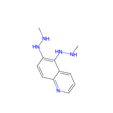 CNNc1ccc2ncccc2c1NNC